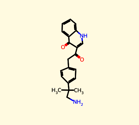 CC(C)(CN)c1ccc(CC(=O)c2c[nH]c3ccccc3c2=O)cc1